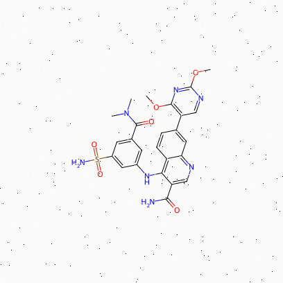 COc1ncc(-c2ccc3c(Nc4cc(C(=O)N(C)C)cc(S(N)(=O)=O)c4)c(C(N)=O)cnc3c2)c(OC)n1